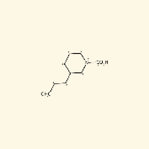 O=CCCC1CCCN(C(=O)O)C1